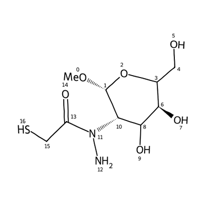 CO[C@@H]1OC(CO)[C@@H](O)C(O)[C@@H]1N(N)C(=O)CS